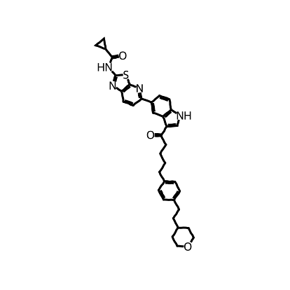 O=C(CCCCc1ccc(CCC2CCOCC2)cc1)c1c[nH]c2ccc(-c3ccc4nc(NC(=O)C5CC5)sc4n3)cc12